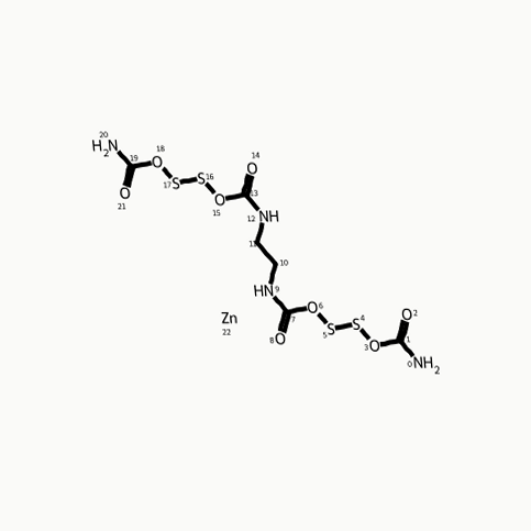 NC(=O)OSSOC(=O)NCCNC(=O)OSSOC(N)=O.[Zn]